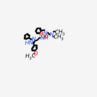 CCN(CC)CCN(Cc1ccccc1)S(=O)(=O)NCCc1nc(-c2ccccc2)[nH]c1-c1ccc(OC)cc1